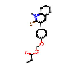 C=CC(=O)OCOc1ccc(-c2cc3ccccc3n(C)c2=S)cc1